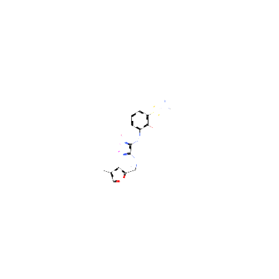 CC(C)c1coc([C@H](Nc2no[n+]([O-])c2Nc2cccc(S(=O)(=O)N(C)C)c2O)C(C)(C)C)c1